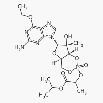 CCOc1nc(N)nc2c1ncn2[C@@H]1O[C@@H]2CO[P@](=O)(OC(C)C(=O)OC(C)C)O[C@H]2[C@@]1(C)O